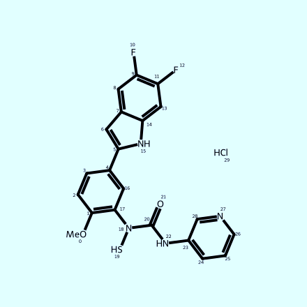 COc1ccc(-c2cc3cc(F)c(F)cc3[nH]2)cc1N(S)C(=O)Nc1cccnc1.Cl